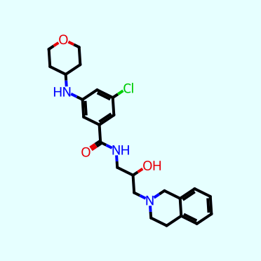 O=C(NCC(O)CN1CCc2ccccc2C1)c1cc(Cl)cc(NC2CCOCC2)c1